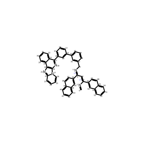 C=N/C(=C\C(=N/Cc1cccc(-c2cccc(-c3nc4c(nc5ccccn54)c4ccccc34)c2)c1)c1ccc2ccccc2c1)c1ccc2ccccc2c1